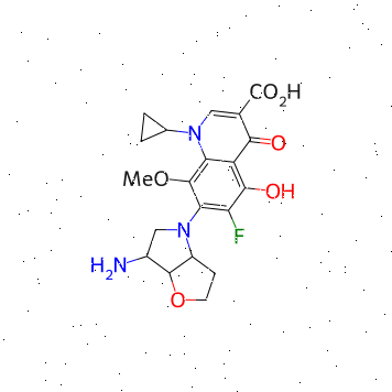 COc1c(N2CC(N)C3OCCC32)c(F)c(O)c2c(=O)c(C(=O)O)cn(C3CC3)c12